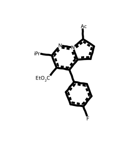 CCOC(=O)c1c(C(C)C)nn2c(C(C)=O)ccc2c1-c1ccc(F)cc1